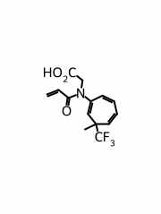 C=CC(=O)N(CC(=O)O)C1=CC(C)(C(F)(F)F)C=CC=C1